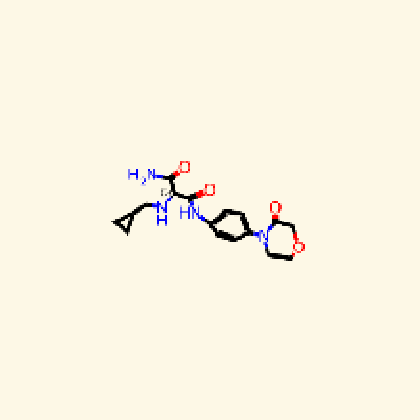 NC(=O)[C@H](NCC1CC1)C(=O)Nc1ccc(N2CCOCC2=O)cc1